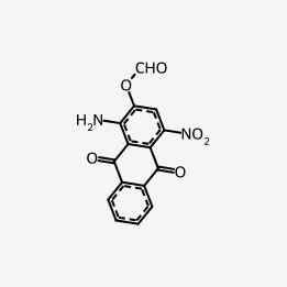 Nc1c(OC=O)cc([N+](=O)[O-])c2c1C(=O)c1ccccc1C2=O